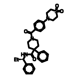 CC[C@H](NC(=O)C1(c2ccccc2)CCN(C(=O)c2ccc(N3CCS(=O)(=O)CC3)cc2)CC1)c1ccccc1